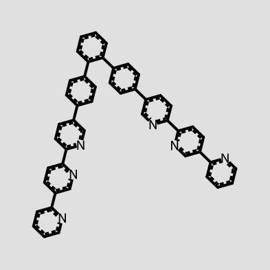 c1ccc(-c2ccc(-c3ccc(-c4ccc(-c5ccccc5-c5ccc(-c6ccc(-c7ccc(-c8ccccn8)cn7)nc6)cc5)cc4)cn3)nc2)nc1